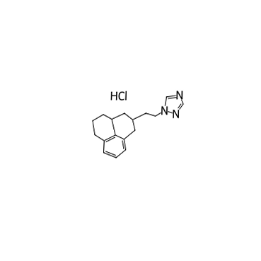 Cl.c1cc2c3c(c1)CC(CCn1cncn1)CC3CCC2